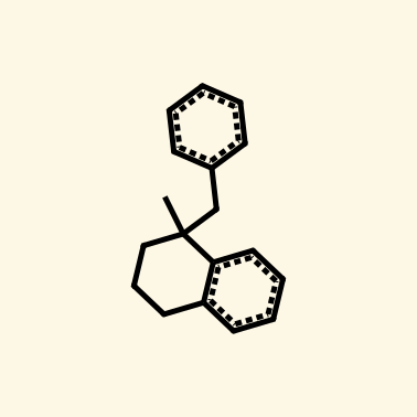 CC1(Cc2ccccc2)CCCc2ccccc21